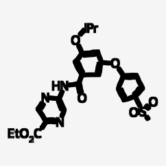 CCOC(=O)c1cnc(NC(=O)c2cc(Oc3ccc(S(C)(=O)=O)cc3)cc(OC(C)C)c2)cn1